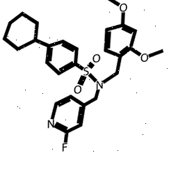 COc1ccc(CN(Cc2ccnc(F)c2)S(=O)(=O)c2ccc(C3CCCCC3)cc2)c(OC)c1